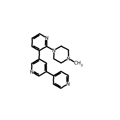 CN1CCN(c2ncccc2-c2cncc(-c3ccncc3)c2)CC1